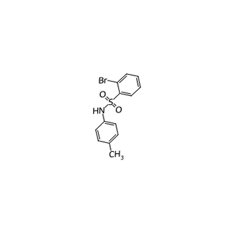 Cc1ccc(NS(=O)(=O)c2ccccc2Br)cc1